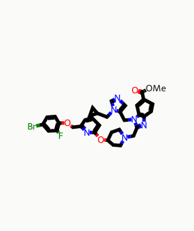 COC(=O)c1ccc2nc(CN3CCC(Oc4cccc(COc5ccc(Br)cc5F)n4)CC3)n(Cc3cncn3CC3CC3)c2c1